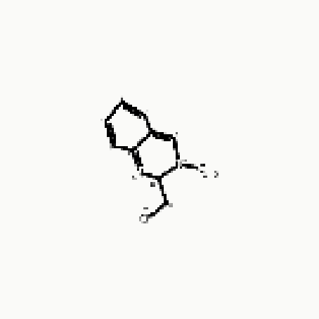 CN1C=c2ccccc2=NC1CCl